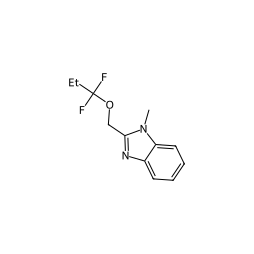 CCC(F)(F)OCc1nc2ccccc2n1C